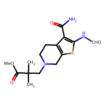 COC(=O)C(C)(C)CN1CCc2c(sc(NC=O)c2C(N)=O)C1